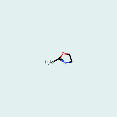 [AsH2]C1=NCCO1